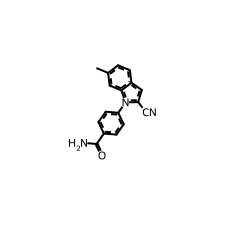 Cc1ccc2cc(C#N)n(-c3ccc(C(N)=O)cc3)c2c1